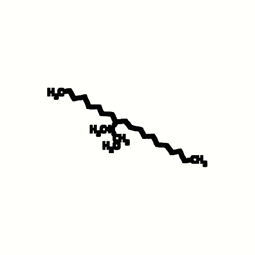 CCCCCCCCCCCC(CCCCCCCC)N(C)C.O